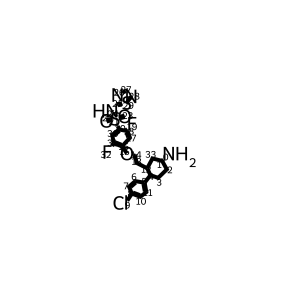 NC1CCC(c2ccc(Cl)cc2)C(CCOc2cc(F)c(S(=O)(=O)Nc3ncns3)cc2F)C1